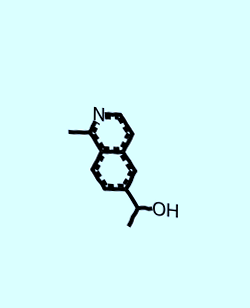 Cc1nccc2cc(C(C)O)ccc12